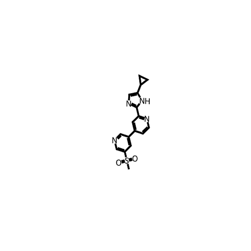 CS(=O)(=O)c1cncc(-c2ccnc(-c3ncc(C4CC4)[nH]3)c2)c1